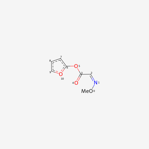 CO/N=C\C(=O)Oc1ccco1